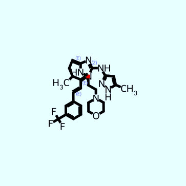 Cc1cc(NC2=N/C(NCCCN3CCOCC3)=C/CC(C)C(/C=C/c3cccc(C(F)(F)F)c3)=N\2)n[nH]1